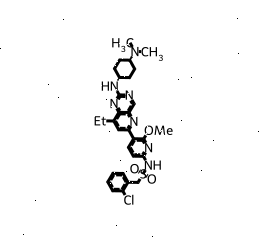 CCc1cc(-c2ccc(NS(=O)(=O)Cc3ccccc3Cl)nc2OC)nc2cnc(N[C@H]3CC[C@H](N(C)C)CC3)nc12